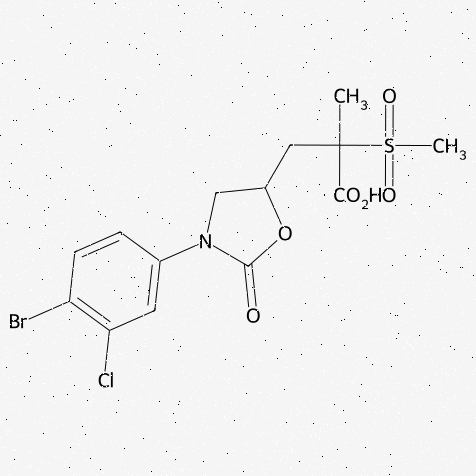 CC(CC1CN(c2ccc(Br)c(Cl)c2)C(=O)O1)(C(=O)O)S(C)(=O)=O